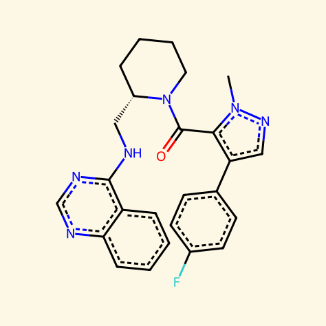 Cn1ncc(-c2ccc(F)cc2)c1C(=O)N1CCCC[C@H]1CNc1ncnc2ccccc12